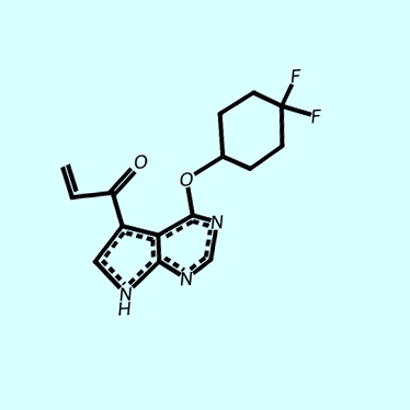 C=CC(=O)c1c[nH]c2ncnc(OC3CCC(F)(F)CC3)c12